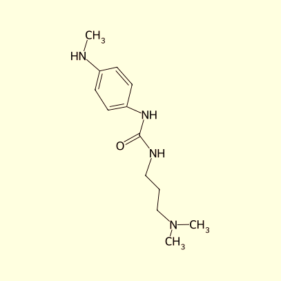 CNc1ccc(NC(=O)NCCCN(C)C)cc1